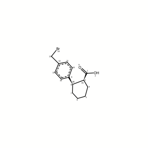 O=C(O)[C@H]1CCCC[C@H]1c1ccc(CBr)cc1